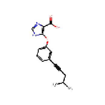 CC(C)CC#Cc1cccc(Oc2[nH]cnc2C(=O)O)c1